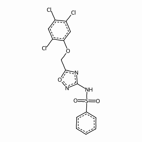 O=S(=O)(Nc1noc(COc2cc(Cl)c(Cl)cc2Cl)n1)c1ccccc1